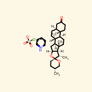 C[C@@H]1CC[C@@]2(OC1)O[C@H]1C[C@H]3[C@@H]4CC[C@H]5CC(=O)CC[C@]5(C)[C@H]4CC[C@]3(C)[C@H]1[C@@H]2C.[O]=[Cr](=[O])([O-])[Cl].c1cc[nH+]cc1